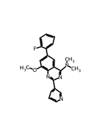 COc1cc(-c2ccccc2F)cc2c(N(C)C)nc(-c3cccnc3)nc12